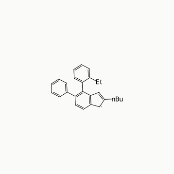 CCCCC1=Cc2c(ccc(-c3ccccc3)c2-c2ccccc2CC)[CH]1